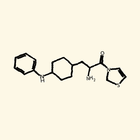 NC(CC1CCC(Nc2ccccc2)CC1)C(=O)N1C=CSC1